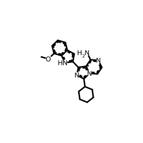 COc1cccc2cc(-c3nc(C4CCCCC4)n4ccnc(N)c34)[nH]c12